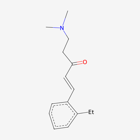 CCc1ccccc1/C=C/C(=O)CCN(C)C